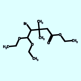 CCOC(=O)CC(C)(C)C(Br)C(OCC)OCC